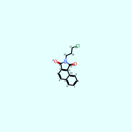 O=C1c2ccc3ccccc3c2C(=O)N1CCCCl